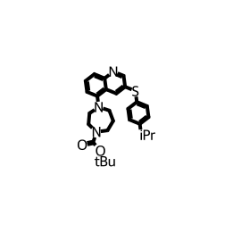 CC(C)c1ccc(Sc2cnc3cccc(N4CCCN(C(=O)OC(C)(C)C)CC4)c3c2)cc1